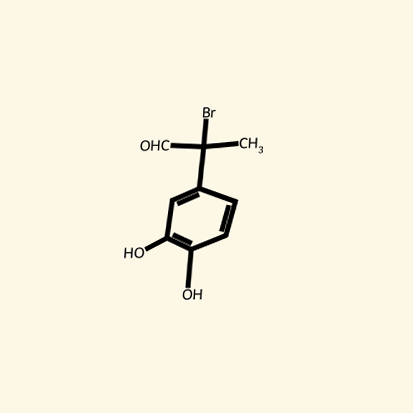 CC(Br)(C=O)c1ccc(O)c(O)c1